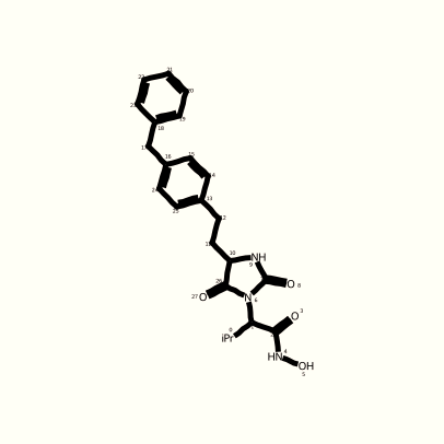 CC(C)C(C(=O)NO)N1C(=O)NC(CCc2ccc(Cc3ccccc3)cc2)C1=O